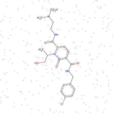 CC(CO)n1c(C(=O)NCCN(C)C(=O)O)ccc(C(=O)NCc2ccc(Cl)cc2)c1=O